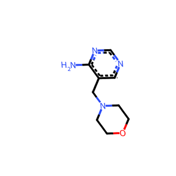 Nc1ncn[c]c1CN1CCOCC1